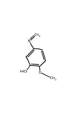 C=Nc1ccc(OC)c(O)c1